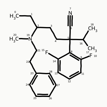 CCC(CCC(C#N)(c1c(F)cccc1F)C(C)C)N(C)CCc1ccccc1